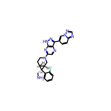 NC[C@]1(c2ccccc2F)[C@@H]2CCN(c3cnc4c(-c5ccc6ncnn6c5)n[nH]c4n3)C[C@@H]21